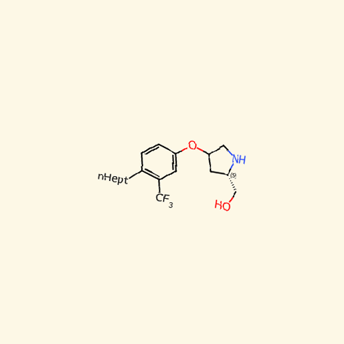 CCCCCCCc1ccc(OC2CN[C@H](CO)C2)cc1C(F)(F)F